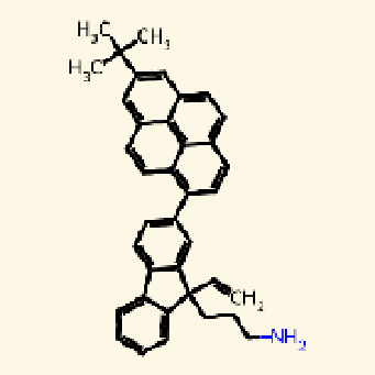 C=CC1(CCCN)c2ccccc2-c2ccc(-c3ccc4ccc5cc(C(C)(C)C)cc6ccc3c4c56)cc21